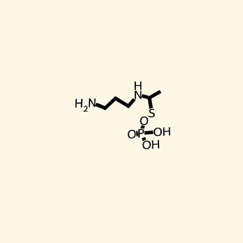 CC(NCCCN)SOP(=O)(O)O